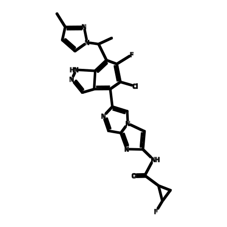 Cc1ccn(C(C)c2c(F)c(Cl)c(-c3cn4cc(NC(=O)C5CC5F)nc4cn3)c3cn[nH]c23)n1